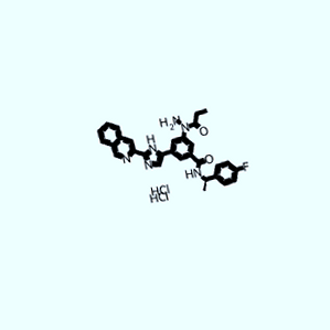 CCC(=O)N(N)c1cc(C(=O)N[C@H](C)c2ccc(F)cc2)cc(-c2cnc(-c3cc4ccccc4cn3)[nH]2)c1.Cl.Cl